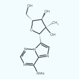 CNc1ncnn2c([C@@H]3O[C@H](CO)[C@@H](O)[C@@]3(C)O)cnc12